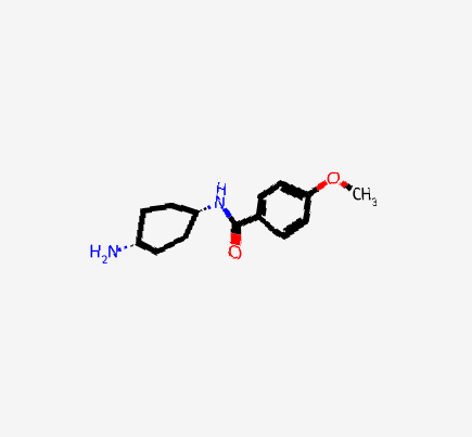 COc1ccc(C(=O)N[C@H]2CC[C@@H](N)CC2)cc1